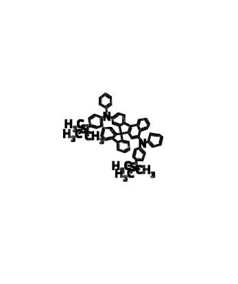 C[Si](C)(C)c1ccc(N(c2ccccc2)c2ccc3c(c2)C2(c4ccccc4-c4ccccc42)c2cc(N(c4ccccc4)c4ccc([Si](C)(C)C)cc4)c4ccccc4c2-3)cc1